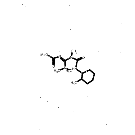 COC(=O)N=C(N(C)C)N(C)C(=O)NC1CCCCC1C